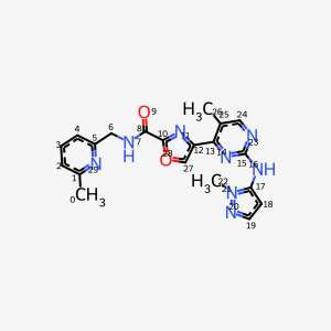 Cc1cccc(CNC(=O)c2nc(-c3nc(Nc4ccnn4C)ncc3C)co2)n1